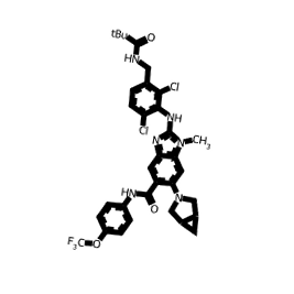 Cn1c(Nc2c(Cl)ccc(CNC(=O)C(C)(C)C)c2Cl)nc2cc(C(=O)Nc3ccc(OC(F)(F)F)cc3)c(N3CC4CC4C3)cc21